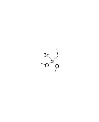 CC[Si](Br)(OC)OC